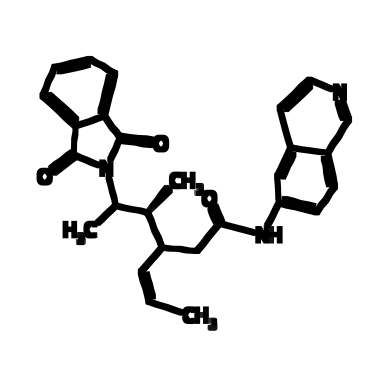 C/C=C\C(CC(=O)Nc1ccc2cnccc2c1)[C@H](C)C(C)N1C(=O)c2ccccc2C1=O